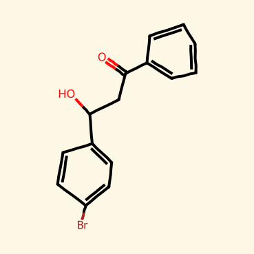 O=C(CC(O)c1ccc(Br)cc1)c1ccccc1